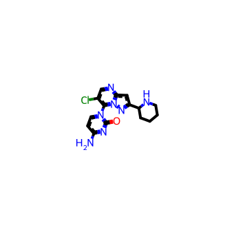 Nc1ccn(-c2c(Cl)cnc3cc(C4CCCCN4)nn23)c(=O)n1